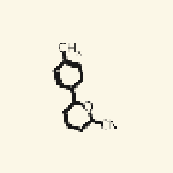 CC1=CCC(C2CCCC(C#N)O2)C=C1